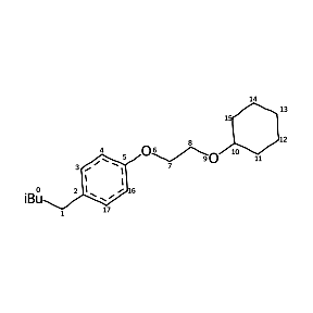 CCC(C)Cc1ccc(OCCOC2CCCCC2)cc1